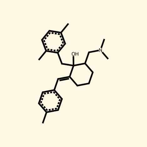 Cc1ccc(/C=C2\CCCC(CN(C)C)C2(O)Cc2cc(C)ccc2C)cc1